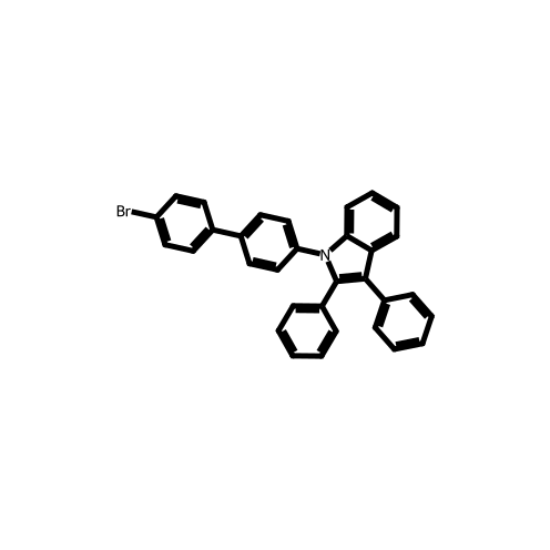 Brc1ccc(-c2ccc(-n3c(-c4ccccc4)c(-c4ccccc4)c4ccccc43)cc2)cc1